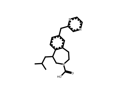 CC(C)CC1CN(C(=O)O)CCc2cc(Cc3cnccn3)ccc21